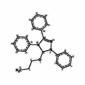 CCCOC1N(c2ccccc2)N=C(c2ccccc2)N1c1ccccc1